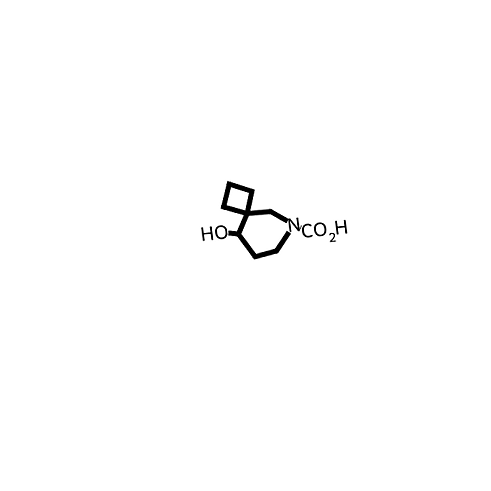 O=C(O)N1CCC(O)C2(CCC2)C1